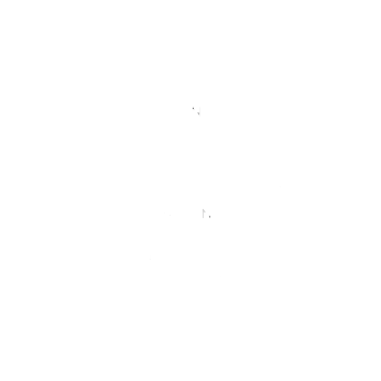 CNCC1CCCC(C(C)C)N1C(=O)C(C)C